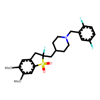 COc1cc2c(cc1OC)S(=O)(=O)C(F)(CC1CCN(Cc3cc(F)ccc3F)CC1)C2